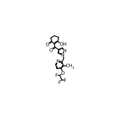 Cc1c(OC(F)C(F)F)ccnc1Cn1cc(C(=O)C2=C(O)CCCC2=O)cn1